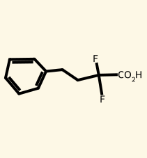 O=C(O)C(F)(F)CCc1ccccc1